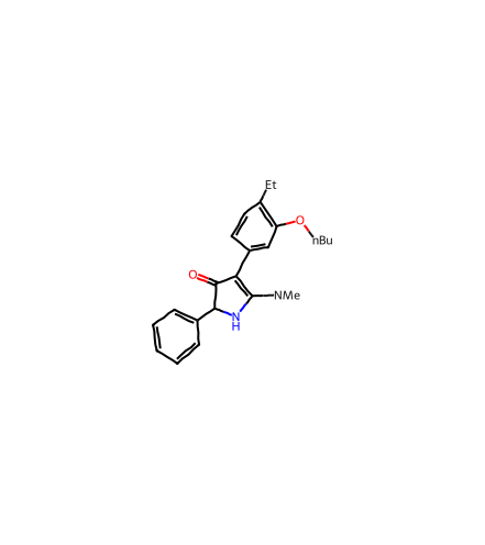 CCCCOc1cc(C2=C(NC)NC(c3ccccc3)C2=O)ccc1CC